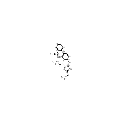 CCCc1nc(CC)nn1Cc1ccc(-c2ccccc2C(=O)O)cc1